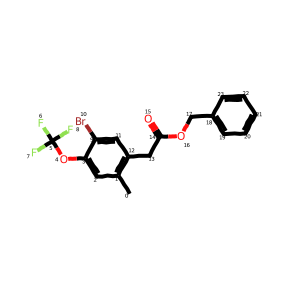 Cc1cc(OC(F)(F)F)c(Br)cc1CC(=O)OCc1ccccc1